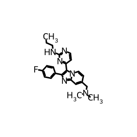 CCCNc1nccc(-c2c(-c3ccc(F)cc3)nc3cc(CN(C)C)ccn23)n1